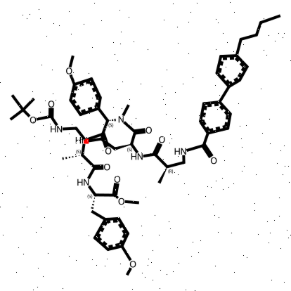 CCCCc1ccc(-c2ccc(C(=O)NC[C@@H](C)C(=O)N[C@@H](CCCCNC(=O)OC(C)(C)C)C(=O)N(C)[C@H](C(=O)N[C@@H](C)C(=O)N[C@@H](Cc3ccc(OC)cc3)C(=O)OC)c3ccc(OC)cc3)cc2)cc1